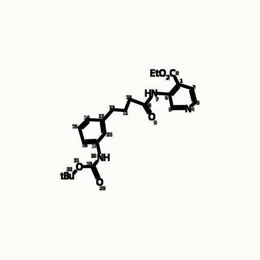 CCOC(=O)c1ccncc1NC(=O)CCCc1cccc(NC(=O)OC(C)(C)C)c1